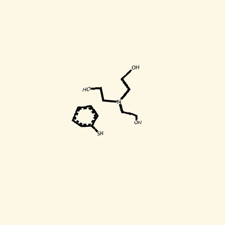 OCCN(CCO)CCO.Sc1ccccc1